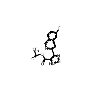 O=C(OC(=O)C(F)(F)F)c1[nH]nnc1-c1cc2cc(F)ccc2cn1